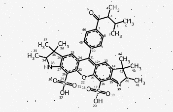 CC(C)C(C)C(=O)c1ccc(C2=c3cc4c(c(S(=O)(=O)O)c3Oc3c2cc2c(c3S(=O)(=O)O)NC(C)C2(C)C)=NC(C)C4(C)C)cc1